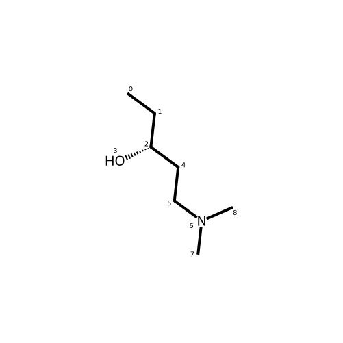 CC[C@@H](O)CCN(C)C